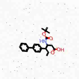 CCC(c1ccc(-c2ccccc2)cc1)C(CC(=O)O)NC(=O)OC(C)(C)C